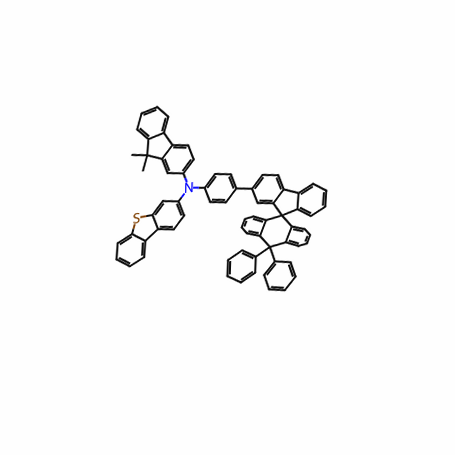 CC1(C)c2ccccc2-c2ccc(N(c3ccc(-c4ccc5c(c4)C4(c6ccccc6-5)c5ccccc5C(c5ccccc5)(c5ccccc5)c5ccccc54)cc3)c3ccc4c(c3)sc3ccccc34)cc21